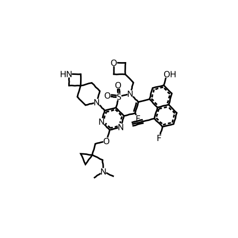 C#Cc1c(F)ccc2cc(O)cc(C3=C(F)c4nc(OCC5(CN(C)C)CC5)nc(N5CCC6(CC5)CNC6)c4S(=O)(=O)N3CC3COC3)c12